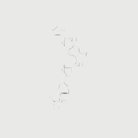 CC(=O)Nc1ccc(-c2nnc(Nc3cc4nc(-c5ccco5)[nH]c4cc3F)s2)cc1